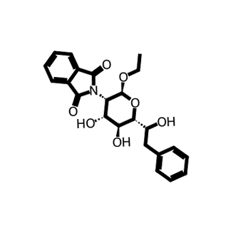 CCO[C@H]1O[C@H](C(O)Cc2ccccc2)[C@@H](O)[C@H](O)[C@@H]1N1C(=O)c2ccccc2C1=O